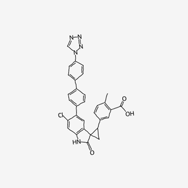 Cc1ccc(C2CC23C(=O)Nc2cc(Cl)c(-c4ccc(-c5ccc(-n6cnnn6)cc5)cc4)cc23)cc1C(=O)O